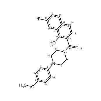 COc1ccc(N2CCN(C(=O)c3cnc4ccc(F)cc4c3O)CC2)cc1